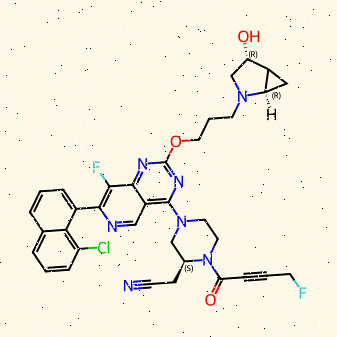 N#CC[C@H]1CN(c2nc(OCCCN3C[C@H](O)C4C[C@H]43)nc3c(F)c(-c4cccc5cccc(Cl)c45)ncc23)CCN1C(=O)C#CCF